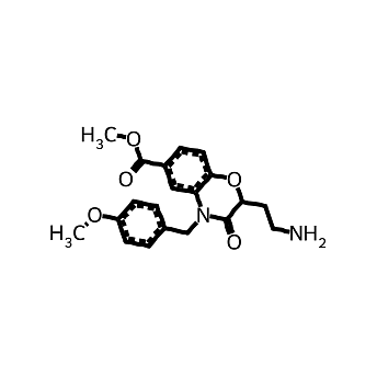 COC(=O)c1ccc2c(c1)N(Cc1ccc(OC)cc1)C(=O)C(CCN)O2